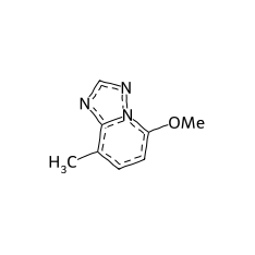 COc1ccc(C)c2ncnn12